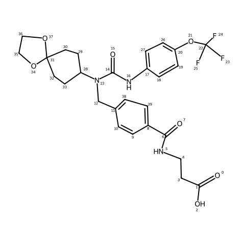 O=C(O)CCNC(=O)c1ccc(CN(C(=O)Nc2ccc(OC(F)(F)F)cc2)C2CCC3(CC2)OCCO3)cc1